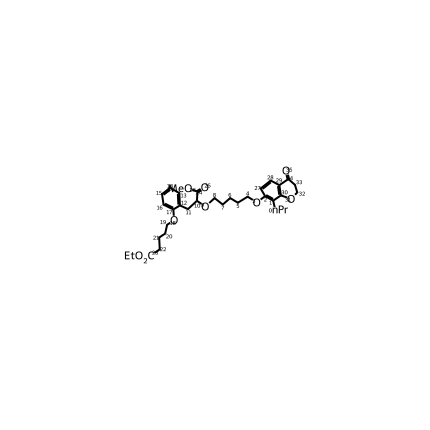 CCCc1c(OCCCCCOC(Cc2ccccc2OCCCCC(=O)OCC)C(=O)OC)ccc2c1OCCC2=O